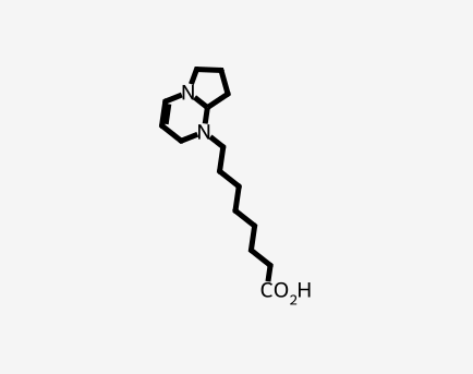 O=C(O)CCCCCCCN1CC=CN2CCCC21